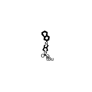 CC(C)(C)OC(=O)N1CC2CN(c3ccc4ccccc4c3)CC2C1